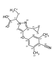 CCC(C(=O)O)n1cc(Oc2cc(C)c(C#N)c(C)c2)c(C2CC2)n1